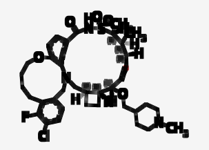 C[C@@H]1[C@@H](C)S(=O)(=O)NC(=O)c2ccc3c(c2)N(Cc2ccc(Cl)c(F)c2CCCCO3)C[C@@H]2CC[C@H]2[C@@H](OCC2CCN(C)CC2)C2=C[C@H]1C2